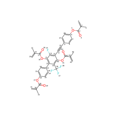 C=C(C)C(=O)Oc1ccc(C#Cc2c(F)c(OC(=O)C(=C)C)c(-c3ccc(OC(=O)C(=C)C)cc3)c(C(F)(F)F)c2OC(=O)C(=C)C)cc1